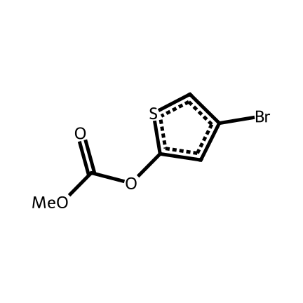 COC(=O)Oc1cc(Br)cs1